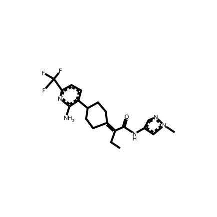 CCC(C(=O)Nc1cnn(C)c1)=C1CCC(c2ccc(C(F)(F)F)nc2N)CC1